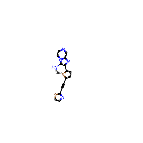 CC(C)(C)Nc1c(-c2ccc(C#Cc3nccs3)s2)nc2cnccn12